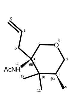 C=CC[C@]1(NC(C)=O)COC[C@@H](C)C1(C)C